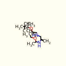 C=C(CNCCO[Si](C)(C)C(C)(C)C)NC(C)OCC